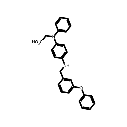 O=C(O)CN(c1ccccc1)c1ccc(NCc2cccc(Oc3ccccc3)c2)cc1